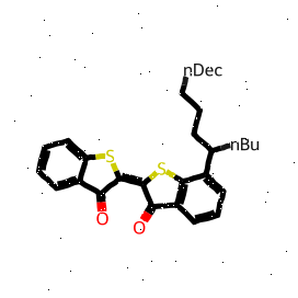 CCCCCCCCCCCCCC(CCCC)c1cccc2c1SC(=C1Sc3ccccc3C1=O)C2=O